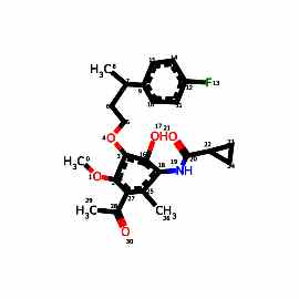 COc1c(OCCC(C)c2ccc(F)cc2)c(O)c(NC(=O)C2CC2)c(C)c1C(C)=O